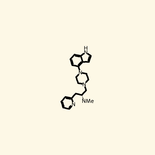 CN[C@H](Cc1ccccn1)CN1CCN(c2cccc3[nH]ccc23)CC1